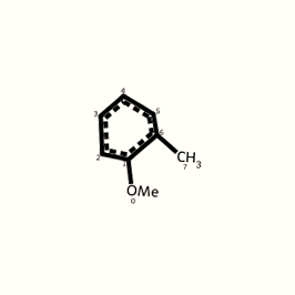 COc1c[c][c]cc1C